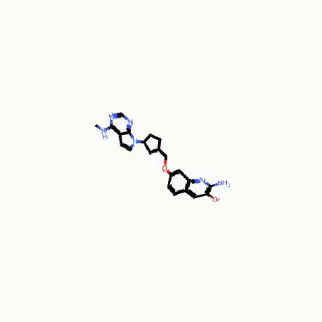 CNc1ncnc2c1ccn2C1CCC(COc2ccc3cc(Br)c(N)nc3c2)C1